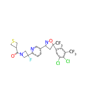 O=C(C1CSC1)N1CC(F)(c2ccc(C3=NOC(c4cc(Cl)c(Cl)c(C(F)(F)F)c4)(C(F)(F)F)C3)cn2)C1